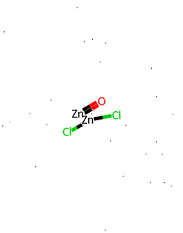 [Cl][Zn][Cl].[O]=[Zn]